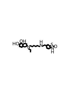 CCCN(CCCCCCNCCc1ccc2[nH]c(=O)sc2c1)C1CCc2c(ccc(O)c2O)C1